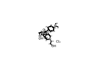 CCC1N(O)C2=C[N+]1(O)N2C1(C(=O)c2ccc(N(C)C)cc2)C=CN(CCO)C=C1.[Cl-]